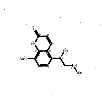 COc1ccc([C@@H](O)CNC(C)(C)C)c2ccc(=O)[nH]c12